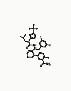 CC(C)C[C@H](C(=O)N[C@@H](Cc1cc(F)cc(F)c1)c1ncccc1-c1ccc(F)c(C(N)=O)c1)n1ccc(C(F)(F)F)n1